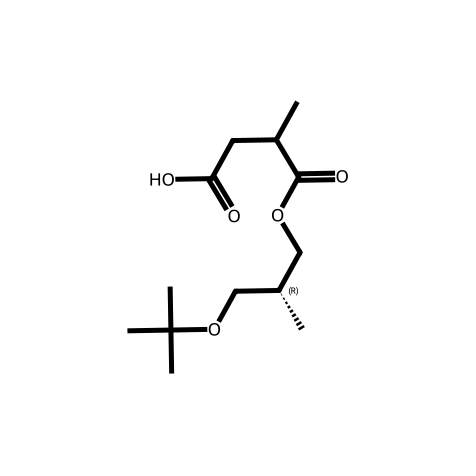 CC(CC(=O)O)C(=O)OC[C@H](C)COC(C)(C)C